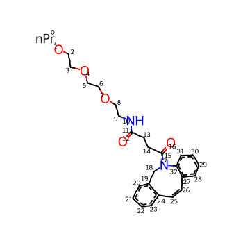 CCCOCCOCCOCCNC(=O)CCC(=O)N1Cc2ccccc2/C=C\c2ccccc21